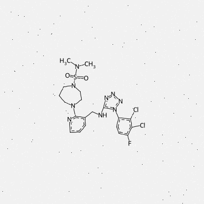 CN(C)S(=O)(=O)N1CCCN(c2ncccc2CNc2nnnn2-c2ccc(F)c(Cl)c2Cl)CC1